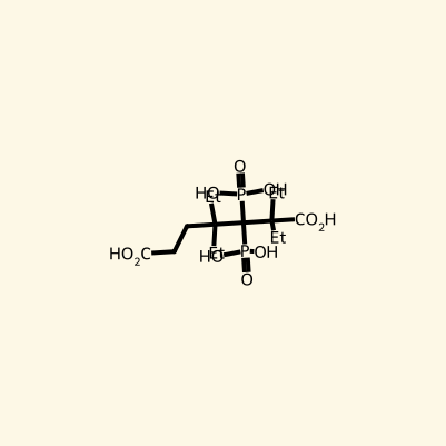 CCC(CC)(CCC(=O)O)C(C(CC)(CC)C(=O)O)(P(=O)(O)O)P(=O)(O)O